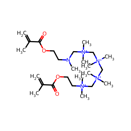 C=C(C)C(=O)OCCN(C)C[N+](C)(C)C[N+](C)(C)C[N+](C)(C)C[N+](C)(C)CCOC(=O)C(=C)C